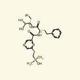 CC(C)C[C@H](NC(=O)[C@H](CCc1ccccc1)NC(=O)c1cncc(SC[Si](C)(C)O)n1)B(O)O